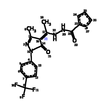 CC1=NN(c2ccc(C(F)(F)F)cc2)C(=O)/C1=C(/C)NNC(=O)c1cccs1